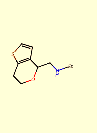 CCNCC1OCCc2sccc21